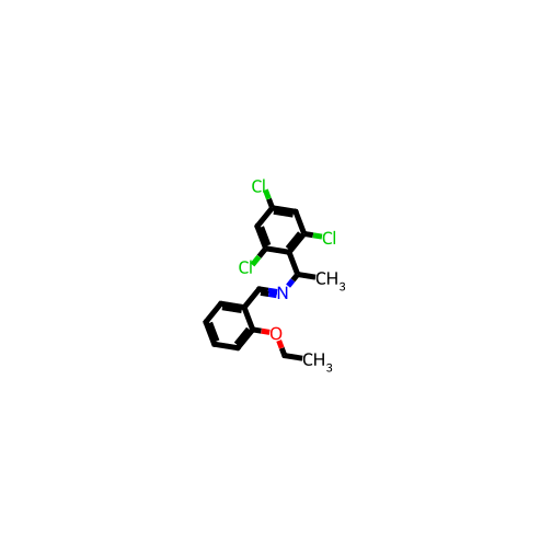 CCOc1ccccc1C=NC(C)c1c(Cl)cc(Cl)cc1Cl